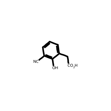 N#Cc1cccc(CC(=O)O)c1O